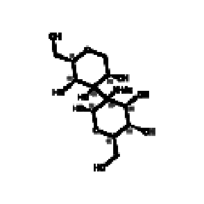 CC(=O)N[C@@]1([C@]2(O)[C@@H](O)CO[C@H](CO)[C@@H]2O)[C@@H](O)O[C@H](CO)[C@@H](O)[C@@H]1O